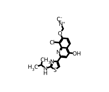 [C-]#[N+]COc1ccc2c(O)cc(-c3csc(NC(C)C)n3)nc2c1Cl